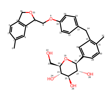 Cc1ccc2c(c1)C(COc1ccc(Cc3cc([C@@H]4O[C@H](CO)[C@@H](O)[C@H](O)[C@H]4O)ccc3C)cc1)OC2